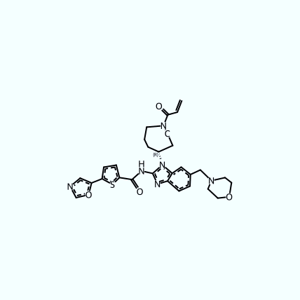 C=CC(=O)N1CCC[C@@H](n2c(NC(=O)c3ccc(-c4cnco4)s3)nc3ccc(CN4CCOCC4)cc32)CC1